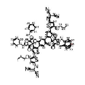 CCCOc1cc(N=C(C#N)C#N)sc1-c1cc2c(s1)-c1cc3c(cc1OC2(C(=O)OCc1ccccc1)C(=O)OCc1ccccc1)-c1sc(-c2sc(N=C(C#N)C#N)cc2OCCC)cc1C(C(=O)OCc1ccccc1)(C(=O)OCc1ccccc1)O3